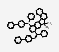 CC1(C)c2cc3c(/C(=C\c4ccc(-c5ccccc5)cc4)c4ccccc4)ccc(N(c4ccccc4)c4ccc(-c5ccccc5)cc4)c3cc2-c2c1ccc1ccccc21